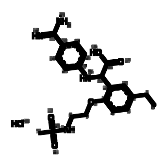 CCc1ccc(OCCNS(C)(=O)=O)c(C(Nc2ccc(C(=N)N)cc2)C(=O)O)c1.Cl